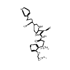 CCOc1ccccc1[C@@H](C)CC(=O)Nc1sc2c(c1C#N)NCC(C(=O)CCc1cccnc1)C2